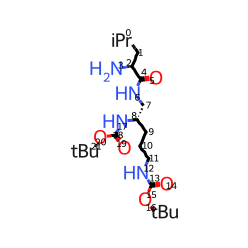 CC(C)C[C@H](N)C(=O)NC[C@H](CCCNC(=O)OC(C)(C)C)NC(=O)OC(C)(C)C